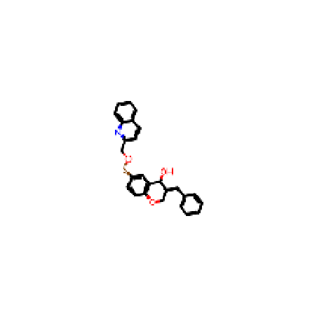 OC1c2cc(SOCc3ccc4ccccc4n3)ccc2OCC1Cc1ccccc1